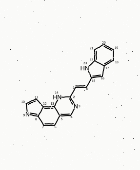 C(=Cc1ncc2ccc3nccc3c2[nH]1)c1cc2ccccc2[nH]1